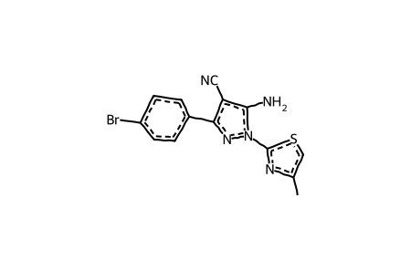 Cc1csc(-n2nc(-c3ccc(Br)cc3)c(C#N)c2N)n1